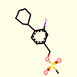 CS(=O)(=O)OCc1ccc(C2CCCCC2)c(I)c1